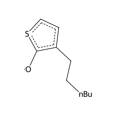 CCCCCCc1ccsc1[O]